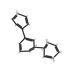 c1cc(-c2ccncc2)cc(-c2cnccn2)c1